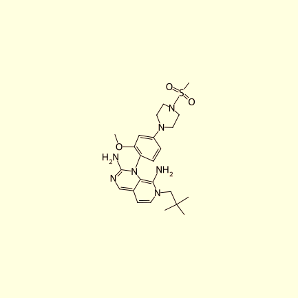 COc1cc(N2CCN(S(C)(=O)=O)CC2)ccc1N1C(N)=NC=C2C=CN(CC(C)(C)C)C(N)=C21